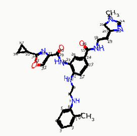 Cc1ccccc1NCCNc1ccc(C(=O)NCCC2CN(C)C=N2)cc1NC(=O)c1coc(C2CC2)n1